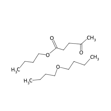 CCCCOC(=O)CCC(C)=O.CCCCOCCCC